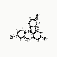 CCc1cc(Br)ccc1-n1c2ccc(Br)cc2c2cc(Br)ccc21